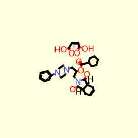 O=C(O)/C=C\C(=O)O.O=C(OC(CN1CCN(c2ccccc2)CC1)CN1C(=O)[C@H]2CC=CC[C@H]2C1=O)C1CCCCC1